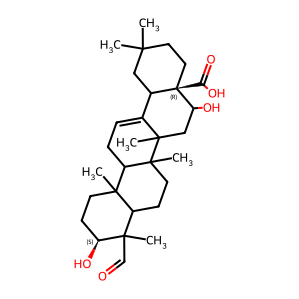 CC1(C)CC[C@]2(C(=O)O)C(O)CC3(C)C(=CCC4C5(C)CC[C@H](O)C(C)(C=O)C5CCC43C)C2C1